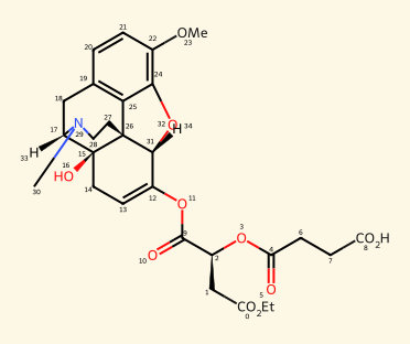 CCOC(=O)C[C@H](OC(=O)CCC(=O)O)C(=O)OC1=CC[C@]2(O)[C@@H]3Cc4ccc(OC)c5c4[C@]2(CCN3C)[C@@H]1O5